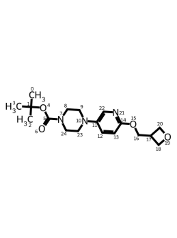 CC(C)(C)OC(=O)N1CCN(c2ccc(OCC3COC3)nc2)CC1